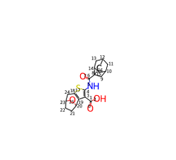 O=C(O)c1c(NC(=O)C23CC4CC(CC2C4)C3)sc2c1C1CCC(C2)O1